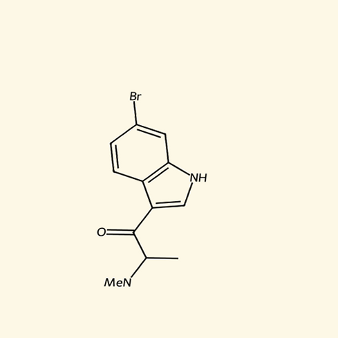 CNC(C)C(=O)c1c[nH]c2cc(Br)ccc12